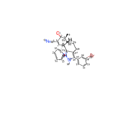 C[C@@H]1C(=O)C(C#N)=C[C@]2(c3ccccc3)c3nn(C)c(-c4cccc(Br)c4)c3CC[C@@H]12